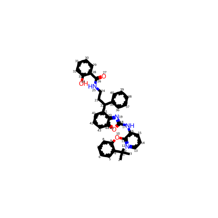 CC(C)(C)c1ccccc1Oc1ncccc1Nc1nc2c(C(CCNC(=O)c3ccccc3O)c3ccccc3)cccc2o1